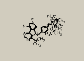 CN(C)c1ncnc2c3c(F)cc(F)cc3n(Cc3ccc(CP(=O)(OC(C)(C)C)OC(C)(C)C)cc3)c12